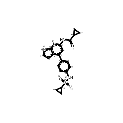 O=C(Nc1cc(-c2ccc(NS(=O)(=O)C3CC3)cc2)c2cc[nH]c2n1)C1CC1